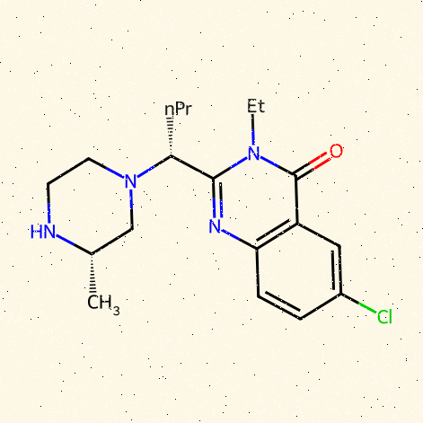 CCC[C@H](c1nc2ccc(Cl)cc2c(=O)n1CC)N1CCN[C@@H](C)C1